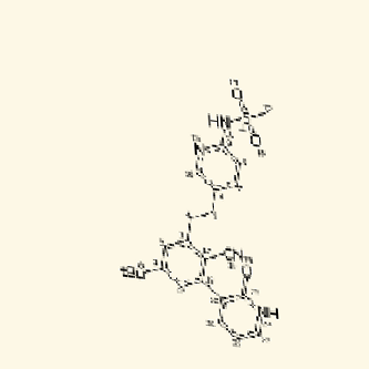 CC(C)(C)c1cc(CCc2ccc(NS(C)(=O)=O)nc2)c(C#N)c(-c2ccc[nH]c2=O)c1